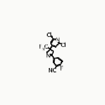 N#Cc1cc(C2=NCC(c3cc(Cl)nc(Cl)c3)(C(F)(F)F)C2)ccc1F